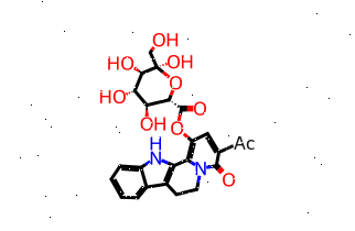 CC(=O)c1cc(OC(=O)[C@H]2O[C@](O)(CO)[C@H](O)[C@@H](O)[C@@H]2O)c2n(c1=O)CCc1c-2[nH]c2ccccc12